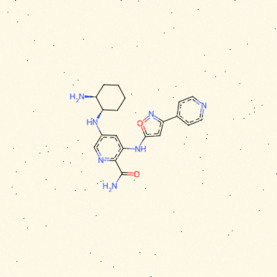 NC(=O)c1ncc(N[C@@H]2CCCC[C@@H]2N)cc1Nc1cc(-c2ccncc2)no1